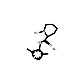 CCCCN1CCCCC1C(=O)Nc1c(C)csc1C.Cl